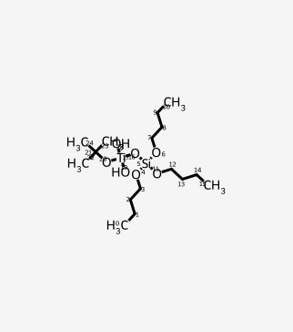 CCCCO[Si](OCCCC)(OCCCC)[O][Ti]([OH])([OH])[O]C(C)(C)C